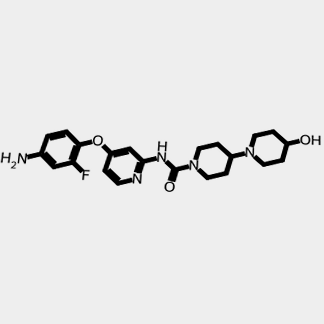 Nc1ccc(Oc2ccnc(NC(=O)N3CCC(N4CCC(O)CC4)CC3)c2)c(F)c1